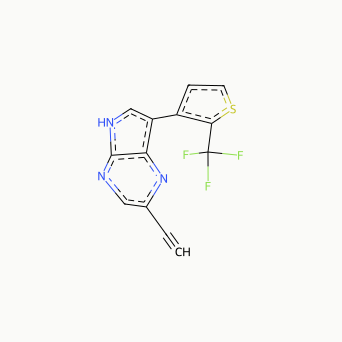 C#Cc1cnc2[nH]cc(-c3ccsc3C(F)(F)F)c2n1